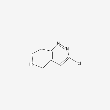 Clc1cc2c(nn1)CCNC2